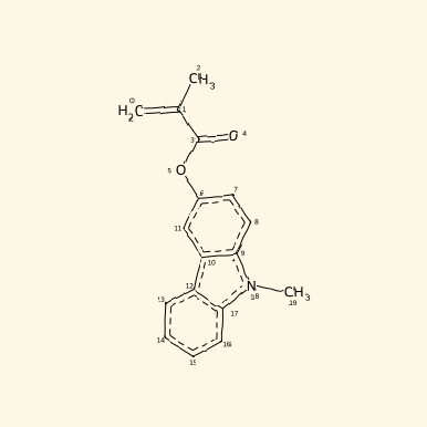 C=C(C)C(=O)Oc1ccc2c(c1)c1ccccc1n2C